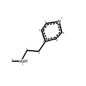 C[AsH]CCc1ccncc1